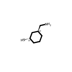 NC[C@H]1CCC[C@H](S)C1